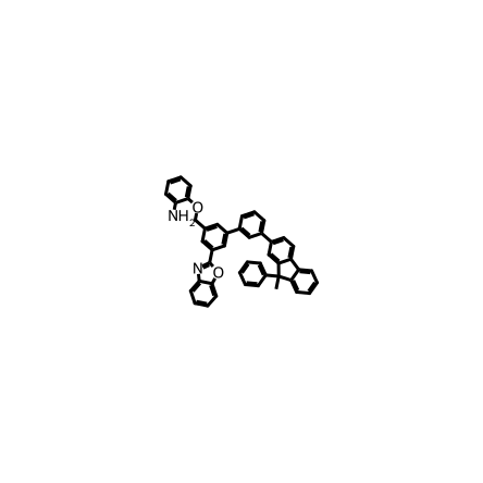 CC1(c2ccccc2)c2ccccc2-c2ccc(-c3cccc(-c4cc(COc5ccccc5N)cc(-c5nc6ccccc6o5)c4)c3)cc21